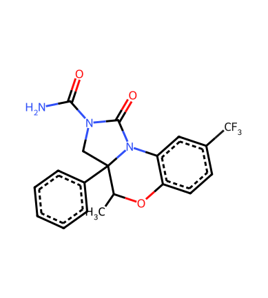 CC1Oc2ccc(C(F)(F)F)cc2N2C(=O)N(C(N)=O)CC12c1ccccc1